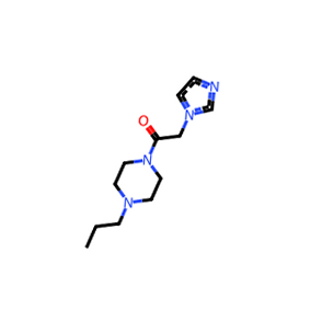 CCCN1CCN(C(=O)Cn2ccnc2)CC1